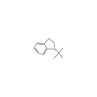 CC(C)(C)[C]1CCc2ccccc21